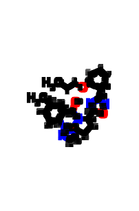 CCCOc1ccccc1-c1noc(C2CCCN2C(=O)c2cc(C)ccc2-n2nccn2)n1